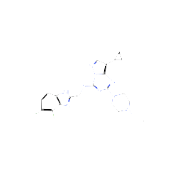 CN1CCN(c2nc(NCc3nc4c(F)c(Cl)ccc4[nH]3)n3ncc(C4CC4)c3n2)CC1